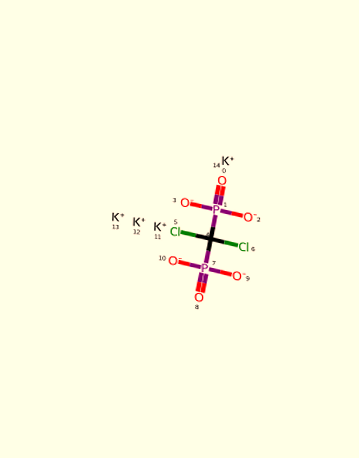 O=P([O-])([O-])C(Cl)(Cl)P(=O)([O-])[O-].[K+].[K+].[K+].[K+]